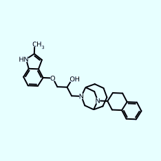 Cc1cc2c(OCC(O)CN3CC4CCCCC3CN4C3CCc4ccccc4C3)cccc2[nH]1